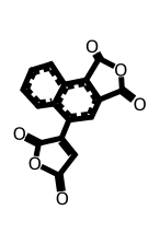 O=C1C=C(c2cc3c(c4ccccc24)C(=O)OC3=O)C(=O)O1